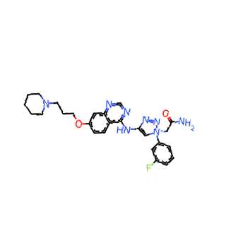 NC(=O)C[N+]1(c2cccc(F)c2)C=C(Nc2ncnc3cc(OCCCN4CCCCC4)ccc23)N=N1